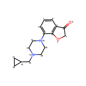 O=C1COc2c1cccc2N1CCN(CC2CC2)CC1